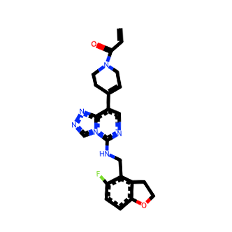 C=CC(=O)N1CC=C(c2cnc(NCc3c(F)ccc4c3CCO4)n3cnnc23)CC1